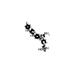 NCCN(C1CCN(CCP(=O)(O)O)CC1)S(=O)(=O)c1ccc(Nc2nccc(Nc3ccc(F)cc3)n2)cc1